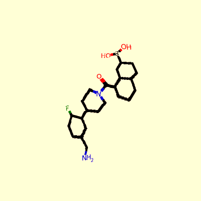 NCC1CCC(F)C(C2CCN(C(=O)C3CCCC4CCC(B(O)O)CC43)CC2)C1